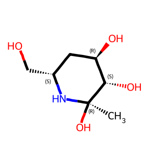 C[C@]1(O)N[C@H](CO)C[C@@H](O)[C@@H]1O